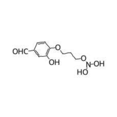 O=Cc1ccc(OCCCON(O)O)c(O)c1